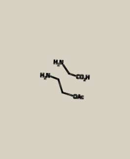 CC(=O)OCCN.NCC(=O)O